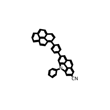 N#Cc1cc2ccc3cc(-c4ccc(-c5ccc6ccc7cccc8ccc5c6c78)cc4)cc4c3c2c(c1)n4-c1ccccc1